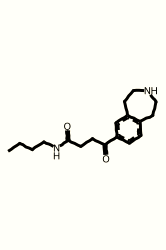 CCCCNC(=O)CCC(=O)c1ccc2c(c1)CCNCC2